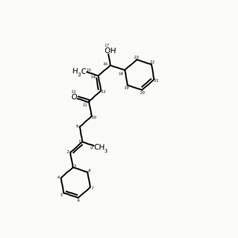 C/C(=C\C1CC=CCC1)CCC(=O)/C=C(\C)C(O)C1CC=CCC1